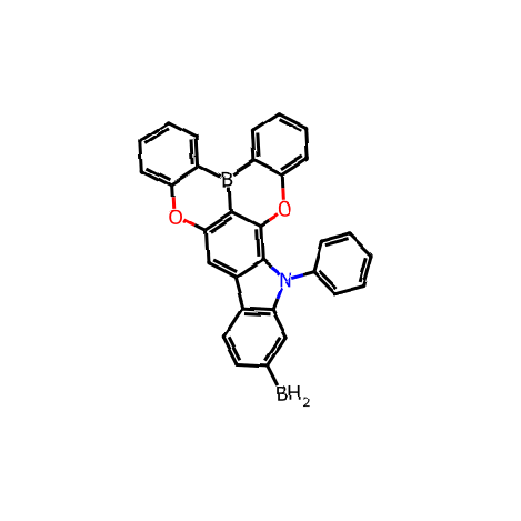 Bc1ccc2c3cc4c5c(c3n(-c3ccccc3)c2c1)Oc1ccccc1B5c1ccccc1O4